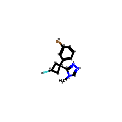 Cn1cnnc1[C@]1(c2cccc(Br)c2)C[C@H](F)C1